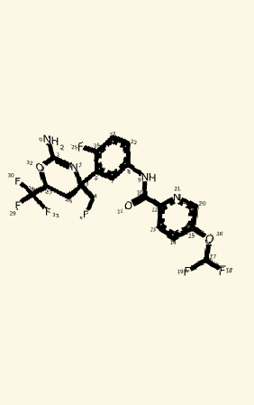 NC1=NC(CF)(c2cc(NC(=O)c3ccc(OC(F)F)cn3)ccc2F)CC(C(F)(F)F)O1